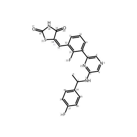 CC(Nc1cncc(-c2cccc(/C=C3/SC(=O)NC3=O)c2F)n1)c1ccc(F)cc1